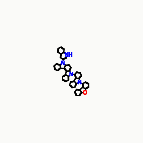 C1=CC2=CC(n3c4ccccc4c4c5c6ccccc6n(-c6cccc7c6c6ccccc6n7-c6cccc7oc8ccccc8c67)c5ccc43)=CNC2C=C1